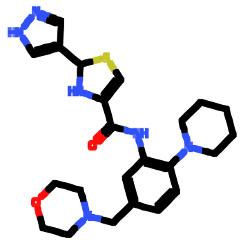 O=C(Nc1cc(CN2CCOCC2)ccc1N1CCCCC1)C1=CSC(c2cn[nH]c2)N1